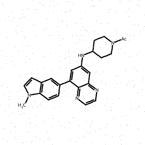 CC(=O)N1CCC(Nc2cc(-c3ccc4c(ccn4C)c3)c3nccnc3c2)CC1